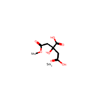 O=C(O)CC(O)(CC(=O)[O][Mo])C(=O)O.[SrH2]